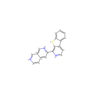 c1ccc2c(c1)sc1c(-c3cc4ccncc4cn3)nccc12